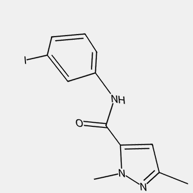 Cc1cc(C(=O)Nc2cccc(I)c2)n(C)n1